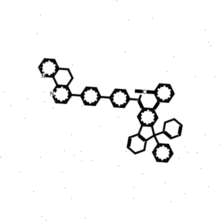 C=C=c1cccc/c1=c1\cc2c(c\c1=C(\C)c1ccc(-c3ccc(-c4ccnc5c4CCc4cccnc4-5)cc3)cc1)C1=C(CCC=C1)C2(C1=CC=CCC1)c1ccccc1